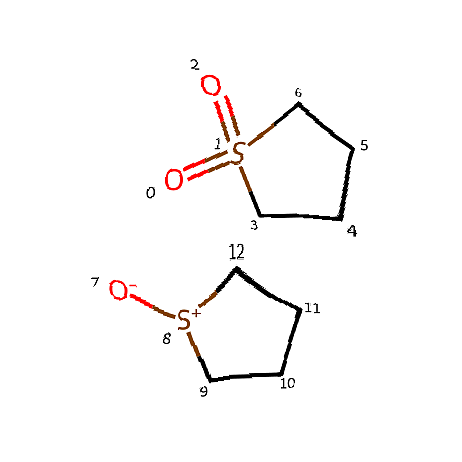 O=S1(=O)CCCC1.[O-][S+]1CCCC1